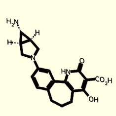 N[C@@H]1[C@H]2CN(c3ccc4c(c3)-c3[nH]c(=O)c(C(=O)O)c(O)c3CCC4)C[C@@H]12